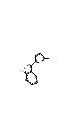 O=Cc1ccc(-c2n[nH]c3ccccc23)o1